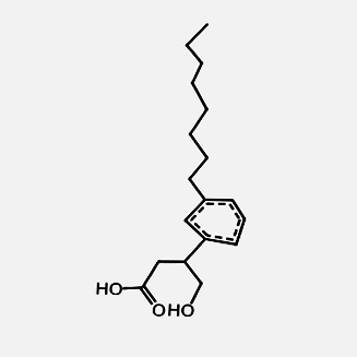 CCCCCCCCc1cccc(C(CO)CC(=O)O)c1